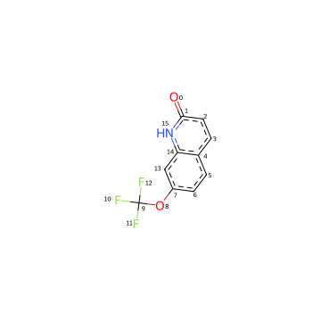 O=c1ccc2ccc(OC(F)(F)F)cc2[nH]1